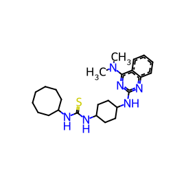 CN(C)c1nc(NC2CCC(NC(=S)NC3CCCCCCC3)CC2)nc2ccccc12